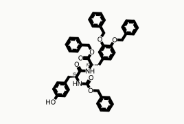 O=C(N[C@@H](Cc1ccc(O)cc1)C(=O)N[C@@H](Cc1ccc(OCc2ccccc2)c(OCc2ccccc2)c1)C(=O)OCc1ccccc1)OCc1ccccc1